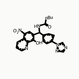 CCCCC(=O)NC(c1ccc(-n2cncn2)cc1)c1cc([N+](=O)[O-])c2cccnc2c1O